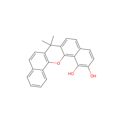 CC1(C)c2ccc3ccccc3c2Oc2c1ccc1ccc(O)c(O)c21